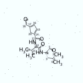 CC(C)C[C@@H](C=O)NC(=O)[C@@H](NC(=O)C1=CC=C(C=O)C1)C(C)C